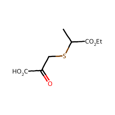 CCOC(=O)C(C)SCC(=O)C(=O)O